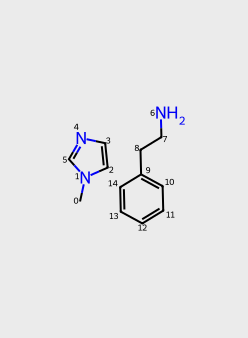 Cn1ccnc1.NCCc1ccccc1